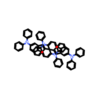 C1=C2C(=Cc3cc(N(c4ccccc4)c4ccccc4)ccc32)C2(C3=Cc4cc(N(c5ccccc5)c5ccccc5)ccc4C3=CC=C2N(c2ccccc2)c2ccccc2)C(N(c2ccccc2)c2ccccc2)=C1